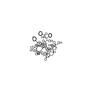 CC(=O)O[C@H]1C(=O)[C@@]2(C)[C@H]([C@H](OC(=O)c3ccccc3)[C@]3(O)C[C@H](OC(=O)[C@H](O)[C@@H](NC(=O)c4ccccc4)c4ccccc4)C(C)=C1C3(C)C)[C@]1(OC(C)=O)CO[C@@H]1C[C@@H]2O.C[C@]12C=CC(=O)C=C1CC[C@@H]1[C@@H]2C(=O)C[C@@]2(C)[C@H]1CC[C@]2(O)C(=O)CO